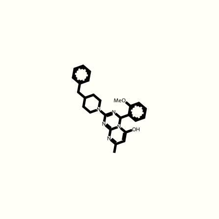 COc1ccccc1C1N=C(N2CCC(Cc3ccccc3)CC2)N=C2N=C(C)C=C(O)N21